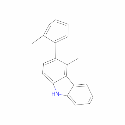 Cc1ccccc1-c1ccc2[nH]c3ccccc3c2c1C